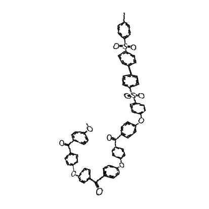 COc1ccc(C(=O)c2ccc(Oc3ccc(C(=O)c4ccc(Oc5ccc(C(=O)c6ccc(Oc7ccc(S(=O)(=O)c8ccc(-c9ccc(S(=O)(=O)c%10ccc(C)cc%10)cc9)cc8)cc7)cc6)cc5)cc4)cc3)cc2)cc1